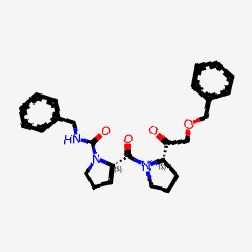 O=C(COCc1ccccc1)[C@@H]1CCCN1C(=O)[C@@H]1CCCN1C(=O)NCc1ccccc1